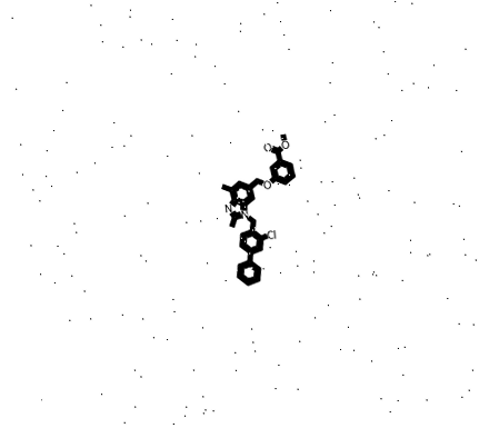 COC(=O)c1cccc(OCc2cc(C)c3nc(C)n(Cc4ccc(-c5ccccc5)cc4Cl)c3c2)c1